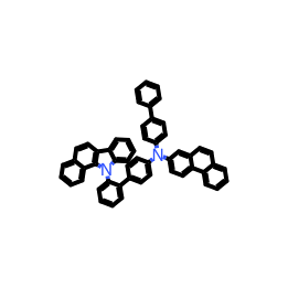 c1ccc(-c2ccc(N(c3ccc(-c4ccccc4-n4c5ccccc5c5ccc6ccccc6c54)cc3)c3ccc4c(ccc5ccccc54)c3)cc2)cc1